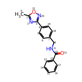 Cc1nc(-c2ccc(CNC(=O)c3ccccc3)cc2)no1